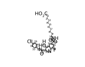 O=C(O)CCCCCCCCCCNS(=O)(=O)c1cc(F)c2ncc(C(=O)NCc3ccc(Cl)cc3)c(O)c2c1